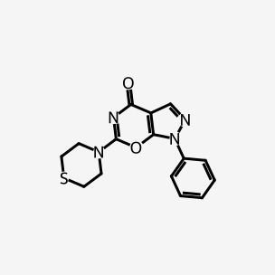 O=c1nc(N2CCSCC2)oc2c1cnn2-c1ccccc1